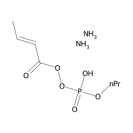 CC=CC(=O)OOP(=O)(O)OCCC.N.N